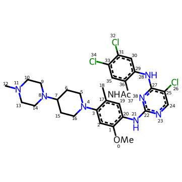 COc1cc(N2CCC(N3CCN(C)CC3)CC2)c(C)cc1Nc1ncc(Cl)c(Nc2cc(Cl)c(Cl)cc2NC(C)=O)n1